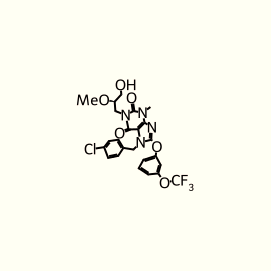 CO[C@@H](CO)Cn1c(=O)c2c(nc(Oc3cccc(OC(F)(F)F)c3)n2Cc2ccc(Cl)cc2)n(C)c1=O